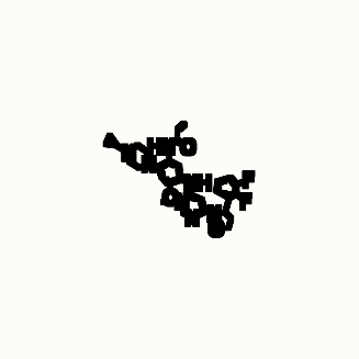 C=CC(=O)Nc1cc(Nc2cc(N3OCCC3c3cccc(F)c3F)ncn2)c(OC)cc1N1CCN(C2CC2)CC1